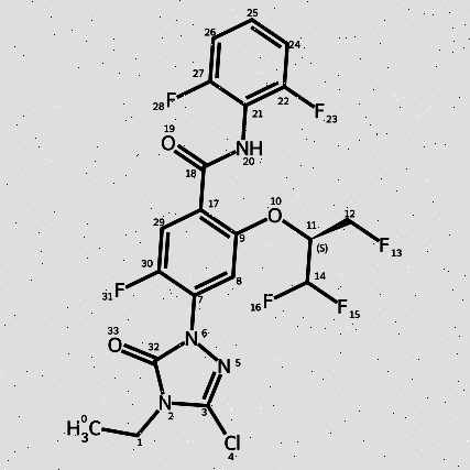 CCn1c(Cl)nn(-c2cc(O[C@@H](CF)C(F)F)c(C(=O)Nc3c(F)cccc3F)cc2F)c1=O